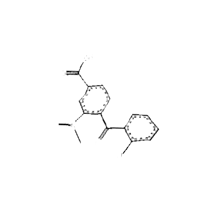 CN(C)c1cc(C(=O)O)ccc1C(=O)c1ccccc1Cl